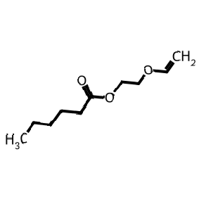 C=COCCOC(=O)CCCCC